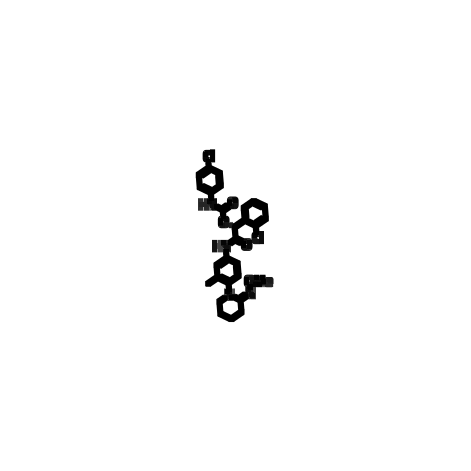 CO/N=C1/CCCCN1c1ccc(NC(=O)[C@H](OC(=O)Nc2ccc(Cl)cc2)c2ccccc2Cl)cc1C